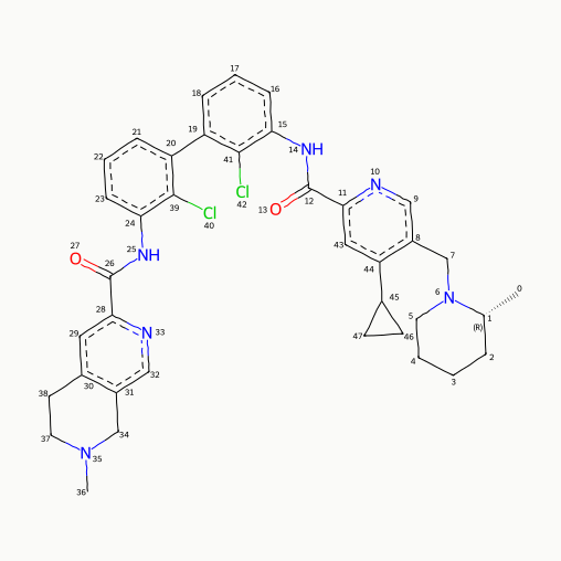 C[C@@H]1CCCCN1Cc1cnc(C(=O)Nc2cccc(-c3cccc(NC(=O)c4cc5c(cn4)CN(C)CC5)c3Cl)c2Cl)cc1C1CC1